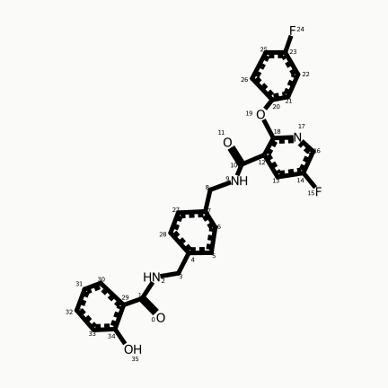 O=C(NCc1ccc(CNC(=O)c2cc(F)cnc2Oc2ccc(F)cc2)cc1)c1ccccc1O